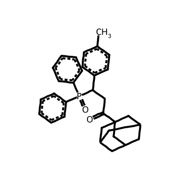 Cc1ccc(C(CC(=O)C23CC4CC(CC(C4)C2)C3)P(=O)(c2ccccc2)c2ccccc2)cc1